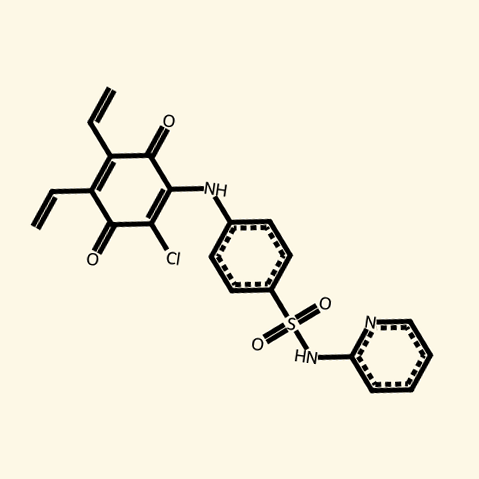 C=CC1=C(C=C)C(=O)C(Nc2ccc(S(=O)(=O)Nc3ccccn3)cc2)=C(Cl)C1=O